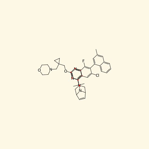 Cc1cc(-c2c(Cl)cc3c(N4CC5C=CC(C4)N5C(C)(C)c4ccccc4)nc(OCC4(CN5CCOCC5)CC4)nc3c2F)c2ccccc2c1